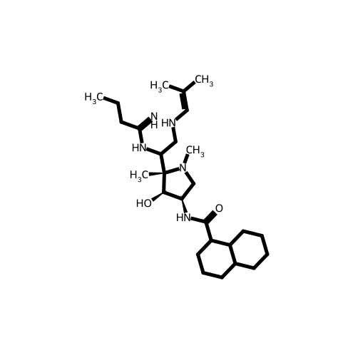 CCCC(=N)NC(CNC=C(C)C)[C@@]1(C)[C@H](O)[C@H](NC(=O)C2CCCC3CCCCC32)CN1C